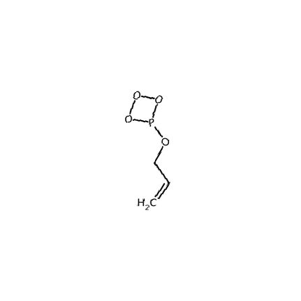 C=CCOP1OOO1